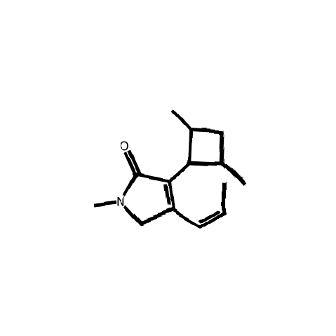 C/C=C\C1=C(C2C(C)CC2C)C(=O)N(C)C1